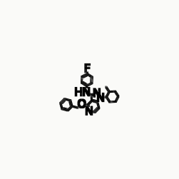 CC1CCCCC1n1nc(Nc2ccc(F)cc2)c2c(OCc3ccccc3)nccc21